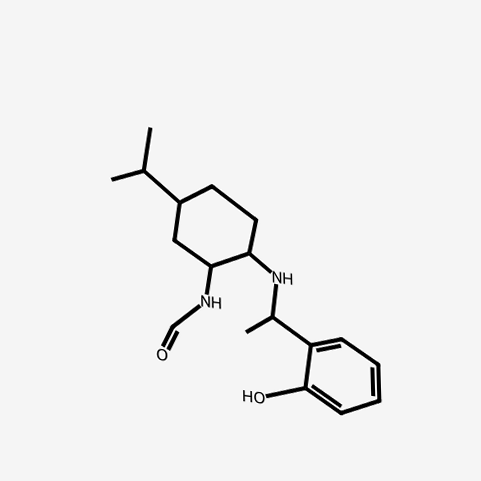 CC(NC1CCC(C(C)C)CC1NC=O)c1ccccc1O